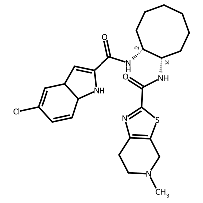 CN1CCc2nc(C(=O)N[C@H]3CCCCCC[C@H]3NC(=O)C3=CC4C=C(Cl)C=CC4N3)sc2C1